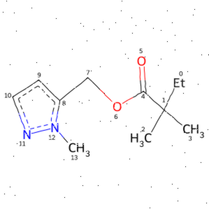 CCC(C)(C)C(=O)OCc1ccnn1C